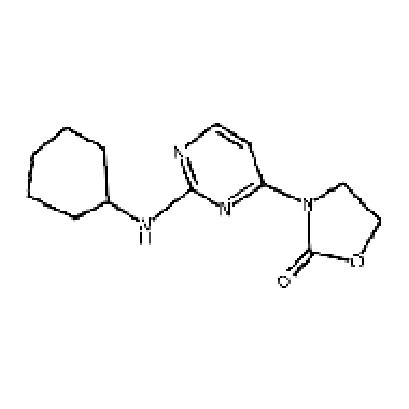 O=C1OCCN1c1ccnc(NC2CCCCC2)n1